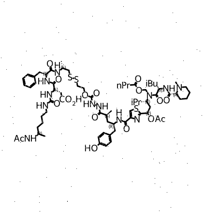 CCCC(=O)OCN(C(=O)[C@@H](NC(=O)[C@H]1CCCCN1C)C(C)CC)[C@H](C[C@@H](OC(C)=O)c1nc(C(=O)N[C@@H](Cc2ccc(O)cc2)C[C@H](C)C(=O)NNC(=O)OCCSSC[C@@H](C)NC(=O)[C@H](Cc2ccccc2)NC(=O)[C@H](CC(=O)O)NC(=O)NCCCC[C@@H](C)NC(C)=O)cs1)C(C)C